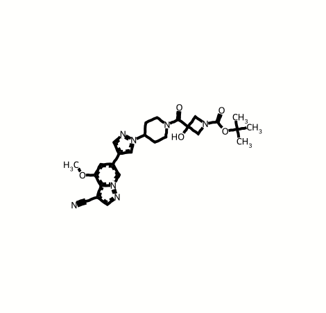 COc1cc(-c2cnn(C3CCN(C(=O)C4(O)CN(C(=O)OC(C)(C)C)C4)CC3)c2)cn2ncc(C#N)c12